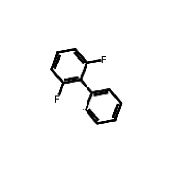 Fc1cccc(F)c1-c1[c]cccc1